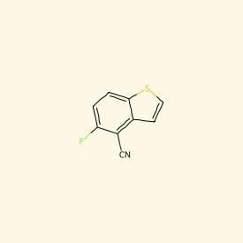 N#Cc1c(F)ccc2sccc12